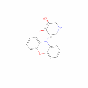 O[C@H]1[C@@H](O)CNC[C@@H]1N1c2ccccc2Oc2ccccc21